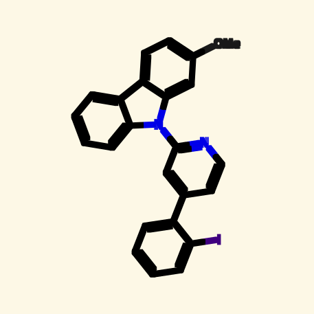 COc1ccc2c3ccccc3n(-c3cc(-c4ccccc4I)ccn3)c2c1